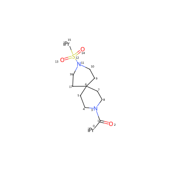 CC(C)C(=O)N1CCC2(CC1)CCN(S(=O)(=O)C(C)C)CC2